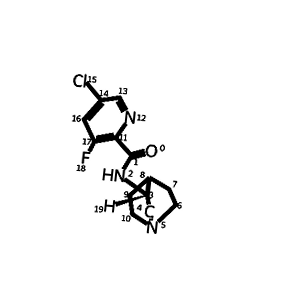 O=C(N[C@H]1CN2CCC1CC2)c1ncc(Cl)cc1F